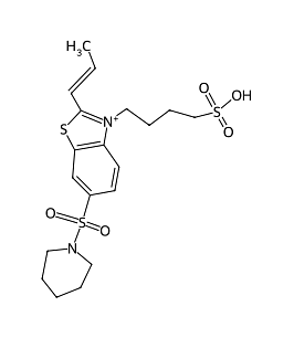 CC=Cc1sc2cc(S(=O)(=O)N3CCCCC3)ccc2[n+]1CCCCS(=O)(=O)O